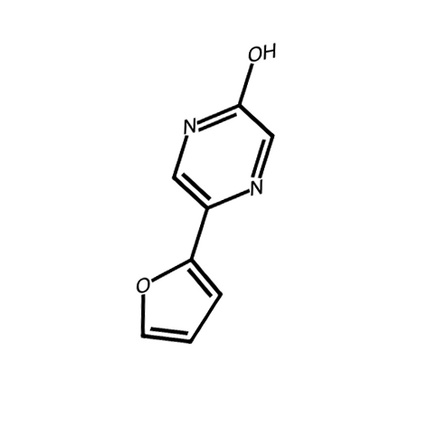 Oc1cnc(-c2ccco2)cn1